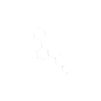 COC(=O)CC(N)c1cccc(N2CCCCC2)c1